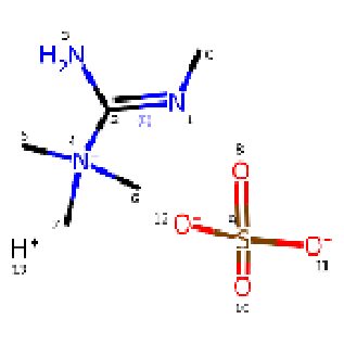 C/N=C(\N)[N+](C)(C)C.O=S(=O)([O-])[O-].[H+]